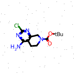 CC(C)(C)OC(=O)N1CCc2c(N)nc(Cl)nc2C1